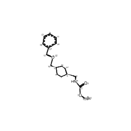 CCCCOC(=O)NC[C@H]1CC[C@@H](COCc2ccccc2)CC1